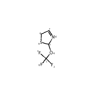 FC(F)(F)OC1N=[C]CS1